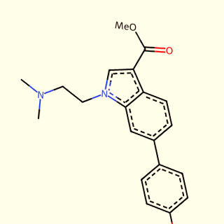 COC(=O)c1cn(CCN(C)C)c2cc(-c3ccc(O)cc3)ccc12